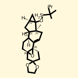 CC(C)C(C)(C)[SiH2]OC12C[C@@H]1C[C@H]1[C@@H]3CC[C@@]45CC6(CC[C@@]4(O5)C3=CC[C@@]12C)OCCO6